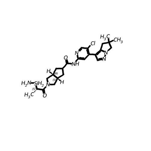 C[C@H]([SiH2]N)C(=O)N1C[C@H]2CC(C(=O)Nc3cc(-c4cnn5c4CC(C)(C)C5)c(Cl)cn3)C[C@H]2C1